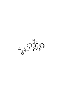 O=C(C1CC1)N1CCc2cc(NS(=O)(=O)c3c(Cl)nc4sccn34)ccc2C1